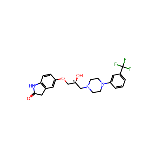 O=C1Cc2cc(OC[C@@H](O)CN3CCN(c4cccc(C(F)(F)F)c4)CC3)ccc2N1